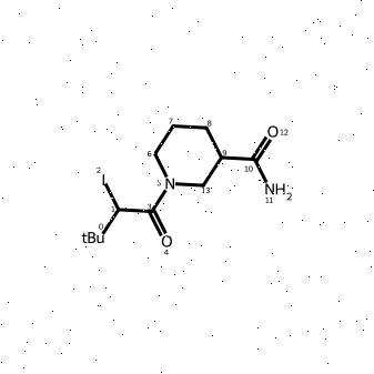 CC(C)(C)C(I)C(=O)N1CCCC(C(N)=O)C1